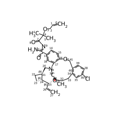 C=CCOC(C)(C)C(=O)N=S(N)(=O)c1ccc2c(c1)N(C[C@@H]1CC[C@H]1[C@@H](C=C)OC)CCCCc1cc(Cl)ccc1CO2